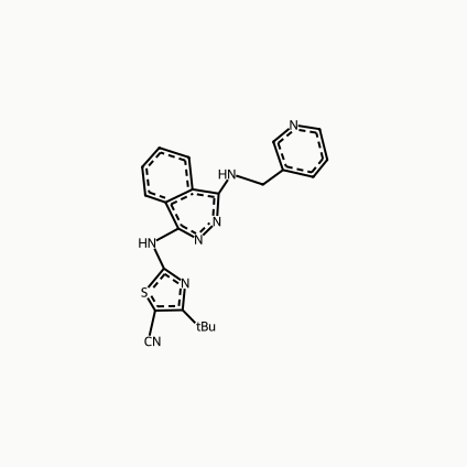 CC(C)(C)c1nc(Nc2nnc(NCc3cccnc3)c3ccccc23)sc1C#N